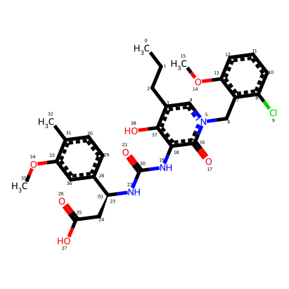 CCCc1cn(Cc2c(Cl)cccc2OC)c(=O)c(NC(=O)N[C@@H](CC(=O)O)c2ccc(C)c(OC)c2)c1O